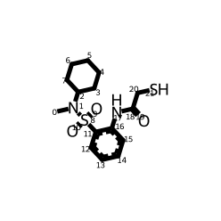 CN(C1CCCCC1)S(=O)(=O)c1ccccc1NC(=O)CS